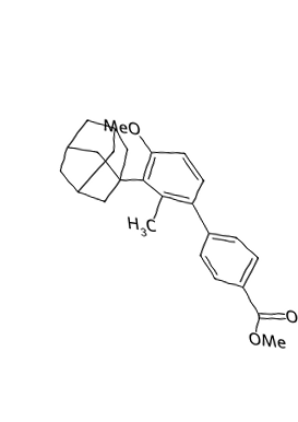 COC(=O)c1ccc(-c2ccc(OC)c(C34CC5CC(CC(C5)C3)C4)c2C)cc1